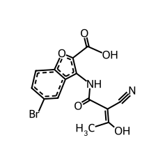 C/C(O)=C(/C#N)C(=O)Nc1c(C(=O)O)oc2ccc(Br)cc12